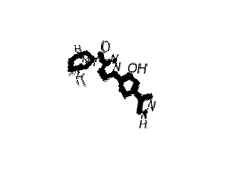 O=C(c1ccc(-c2ccc(-c3cn[nH]c3)cc2O)nn1)[C@@H]1C[C@H]2CC[C@@H](C1)N2